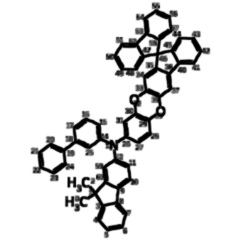 CC1(C)c2ccccc2-c2ccc(N(c3cccc(-c4ccccc4)c3)c3ccc4c(c3)Oc3cc5c(cc3O4)-c3ccccc3C53c4ccccc4-c4ccccc43)cc21